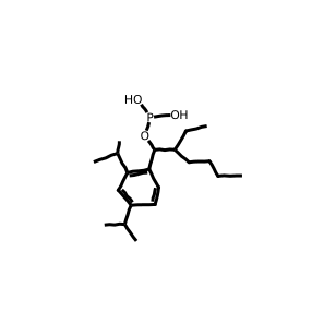 CCCCC(CC)C(OP(O)O)c1ccc(C(C)C)cc1C(C)C